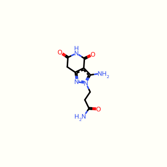 NC(=O)CCn1nc2c(c1N)C(=O)NC(=O)C2